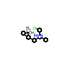 CC1(C)c2ccccc2-c2ccc(-c3cccc(C4C=C(c5ccccc5)N=C(c5cccc(Cl)c5)N4)c3)cc21